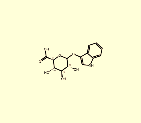 O=C(O)[C@H]1OC(Oc2c[nH]c3ccccc23)[C@H](O)[C@@H](O)[C@@H]1O